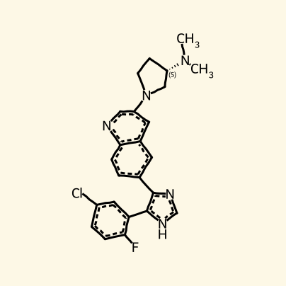 CN(C)[C@H]1CCN(c2cnc3ccc(-c4nc[nH]c4-c4cc(Cl)ccc4F)cc3c2)C1